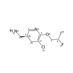 NC[C@H]1C=NC(OCC(F)I)=C(Cl)C1